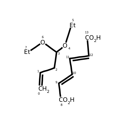 C=CCC(OCC)OCC.O=C(O)/C=C/C=C/C(=O)O